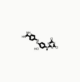 CN(c1ccc(N=Nc2ccc(C(=N)N)cc2)cc1)c1nc(Cl)nc(Cl)n1.Cl